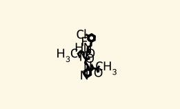 CC(=O)c1cn(CC(=O)N2C[C@H](C)C[C@H]2C(=O)NCc2cccc(Cl)c2F)c2cnccc12